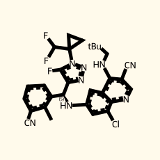 Cc1c(C#N)cccc1[C@H](Nc1cc(Cl)c2ncc(C#N)c(NCC(C)(C)C)c2c1)c1nnn(C2(C(F)F)CC2)c1F